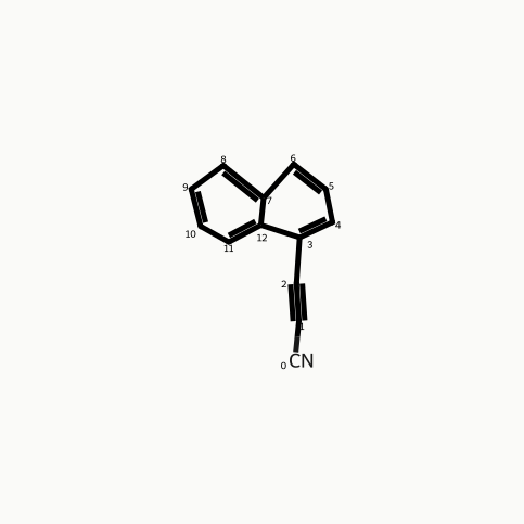 N#CC#Cc1cccc2ccccc12